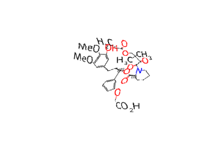 C=CC(=O)OCC(C)(C)C(=O)C(=O)N1CCCC[C@H]1C(=O)O[C@H](CCc1cc(O)c(OC)c(OC)c1)c1cccc(OCC(=O)O)c1